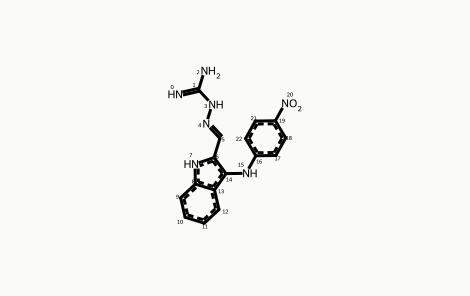 N=C(N)N/N=C/c1[nH]c2ccccc2c1Nc1ccc([N+](=O)[O-])cc1